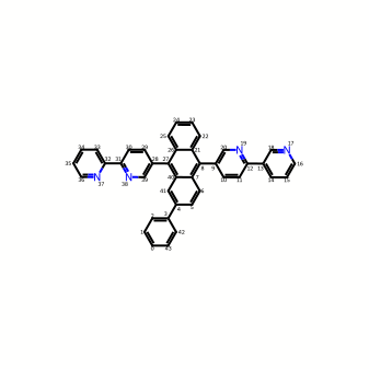 c1ccc(-c2ccc3c(-c4ccc(-c5cccnc5)nc4)c4ccccc4c(-c4ccc(-c5ccccn5)nc4)c3c2)cc1